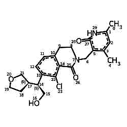 Cc1cc(C)c(CN2CCc3ccc([C@@H](CO)[C@H]4CCOC4)c(Cl)c3C2=O)c(=O)[nH]1